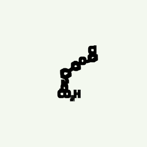 O=C(O)CON=Cc1cccc(-c2ccc(OCc3cccc(Cl)c3)cc2)c1